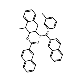 Cc1ccccc1[C@H]1c2ccccc2C(C)C(OC(=O)c2ccc3ccccc3c2)C1OC(=O)c1ccc2ccccc2c1